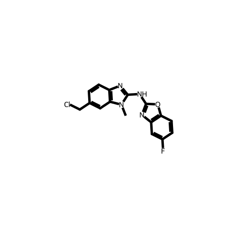 Cn1c(Nc2nc3cc(F)ccc3o2)nc2ccc(CCl)cc21